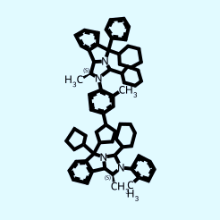 Cc1cc(C2CCC(C3(C4CCCC4)c4ccccc4C4[C@H](C)N(c5ccccc5C)C(C5CCCCC5)N43)C2)ccc1N1C(C2CCCCC2)N2C(c3ccccc3C2(c2ccccc2)C2CCCCC2)[C@@H]1C